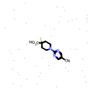 N#Cc1cnc(N2CCC(F)(C(=O)O)CC2)nc1